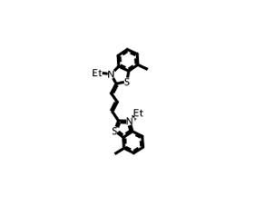 CCN1/C(=C/C=C/c2sc3c(C)cccc3[n+]2CC)Sc2c(C)cccc21